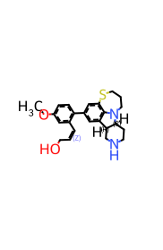 COc1ccc(-c2cc3c4c(c2)[C@@H]2CNCC[C@@H]2N4CCCS3)c(/C=C\CO)c1